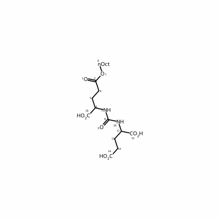 CCCCCCCCOC(=O)CCC(NC(=O)NC(CCC(=O)O)C(=O)O)C(=O)O